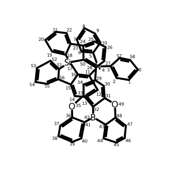 c1ccc(N(c2ccccc2)c2cccc3c2[Si]2(c4ccccc4-c4cccc(-c5cc6c7c(c5)Oc5ccccc5B7c5ccccc5O6)c42)c2ccccc2-3)cc1